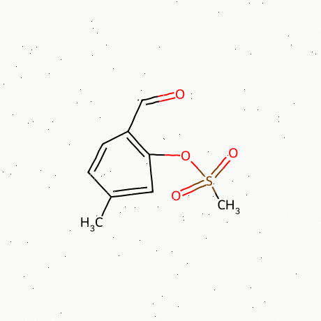 Cc1ccc([C]=O)c(OS(C)(=O)=O)c1